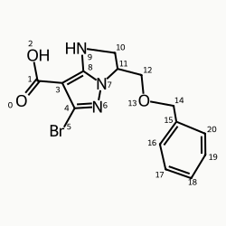 O=C(O)c1c(Br)nn2c1NCC2COCc1ccccc1